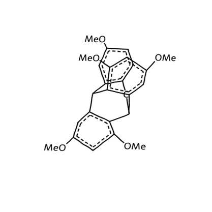 COc1cc(OC)c2c(c1)C1Cc3ccc(OC)cc3C2c2cc(OC)cc(OC)c21